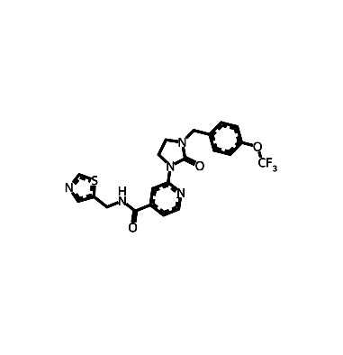 O=C(NCc1cncs1)c1ccnc(N2CCN(Cc3ccc(OC(F)(F)F)cc3)C2=O)c1